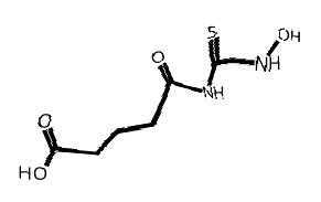 O=C(O)CCCC(=O)NC(=S)NO